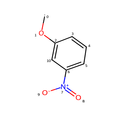 [CH2]Oc1cccc([N+](=O)[O-])c1